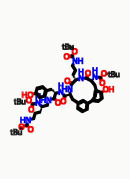 CC(C)(C)OC(=O)NCCC[C@@H](CNC(=O)[C@H](Cc1ccc(O)cc1)NC(=O)[C@@H]1Cc2cccc(c2)-c2ccc(O)c(c2)C[C@H](NC(=O)OC(C)(C)C)C(=O)N[C@@H](CCCNC(=O)OC(C)(C)C)C(=O)N1)NC(=O)OC(C)(C)C